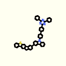 c1ccc(-c2nc(-c3ccccc3)nc(-c3ccc(-c4ccc(-n5c6ccccc6c6cc(-c7ccc8c(c7)-c7cc9sc%10ccccc%10c9cc7C8)ccc65)cc4)cc3)n2)cc1